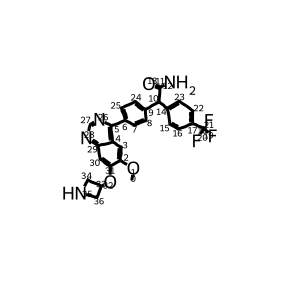 COc1cc2c(-c3ccc(C(C(N)=O)c4ccc(C(F)(F)F)cc4)cc3)ncnc2cc1OC1CNC1